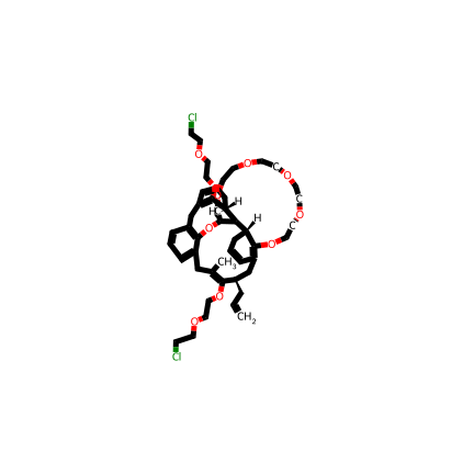 C=CC[C@@H]1CC2=C3OCCOCCOCCOCCOC[C@@H]4Oc5c(cccc5C/C(C)=C/1OCCOCCCl)CC1=C(OCCOCCCl)[C@H](CC=C1)C4[C@H]3CC=C2